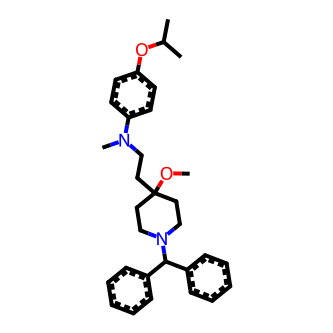 COC1(CCN(C)c2ccc(OC(C)C)cc2)CCN(C(c2ccccc2)c2ccccc2)CC1